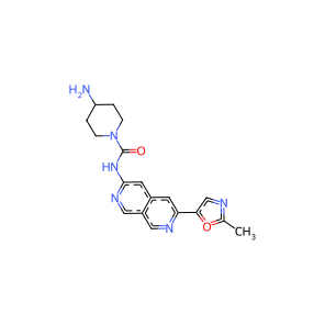 Cc1ncc(-c2cc3cc(NC(=O)N4CCC(N)CC4)ncc3cn2)o1